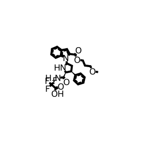 COCCCOC(=O)c1cc2ccccc2n1C1C[C@@H](c2ccccc2)[C@@H](C(N)=O)N1.O=C(O)C(F)(F)F